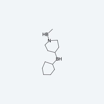 CBN1CCC(BC2CCCCC2)CC1